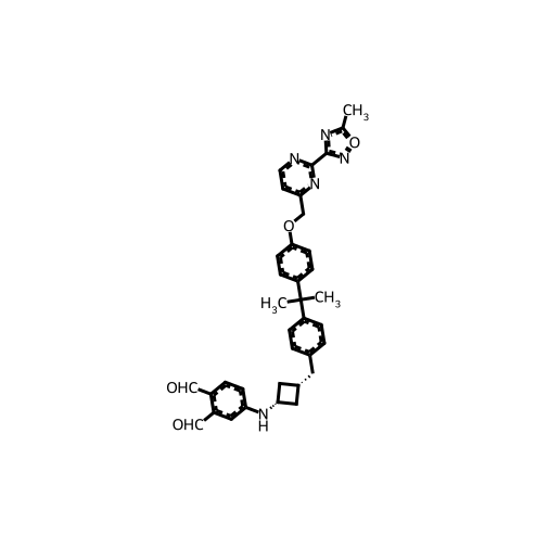 Cc1nc(-c2nccc(COc3ccc(C(C)(C)c4ccc(C[C@H]5C[C@@H](Nc6ccc(C=O)c(C=O)c6)C5)cc4)cc3)n2)no1